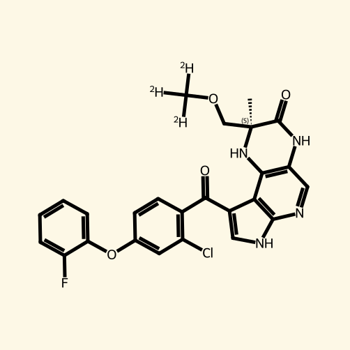 [2H]C([2H])([2H])OC[C@]1(C)Nc2c(cnc3[nH]cc(C(=O)c4ccc(Oc5ccccc5F)cc4Cl)c23)NC1=O